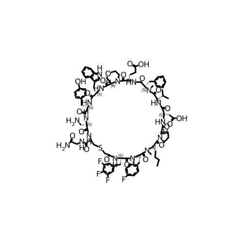 CCCC[C@H]1C(=O)N2CCC[C@@H]2C(=O)N[C@@H](CC(=O)O)C(=O)N[C@@H](C(C)C)C(=O)N(C)[C@@H](Cc2ccccc2)C(=O)N[C@@H](CCC(=O)O)C(=O)N2CCOC[C@@H]2C(=O)N[C@@H](Cc2c[nH]c3ccccc23)C(=O)N[C@@H](Cc2ccc(O)cc2)C(=O)N[C@@H](CN)C(=O)N[C@H](C(=O)NCC(N)=O)CSCC(=O)N[C@@H](Cc2cc(F)c(F)c(F)c2)C(=O)N(C)[C@@H](Cc2ccc(F)cc2)C(=O)N1C